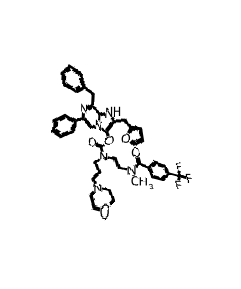 CN(CCN(CCCN1CCOCC1)C(=O)OC1=C(Cc2ccco2)NC2C(Cc3ccccc3)=NC(c3ccccc3)=CN12)C(=O)c1ccc(C(F)(F)F)cc1